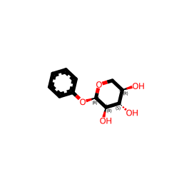 O[C@@H]1[C@@H](O)[C@@H](Oc2ccccc2)OC[C@H]1O